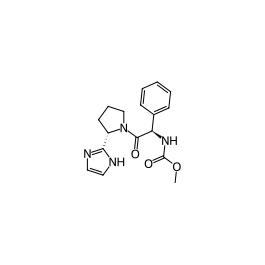 COC(=O)N[C@@H](C(=O)N1CCC[C@H]1c1ncc[nH]1)c1ccccc1